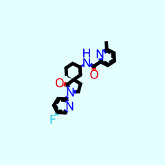 Cc1cccc(C(=O)N[C@@H]2CCC[C@@]3(CCN(c4ccc(F)cn4)C3=O)C2)n1